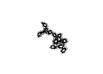 c1ccc(-c2cc(-c3ccccc3)cc(N3c4ccccc4C4c5ccccc5N(c5ccc(-c6ccc(-c7cc(-c8ccccc8)nc(-c8ccccc8)n7)cc6)cc5)c5ccccc5C43)c2)cc1